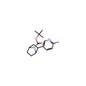 CC(C)(C)OC(=O)N1C2CCC1C(c1ccc(I)nc1)C2